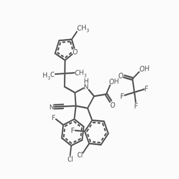 Cc1ccc(C(C)(C)CC2NC(C(=O)O)C(c3cccc(Cl)c3F)C2(C#N)c2ccc(Cl)cc2F)o1.O=C(O)C(F)(F)F